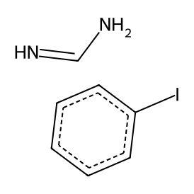 Ic1ccccc1.N=CN